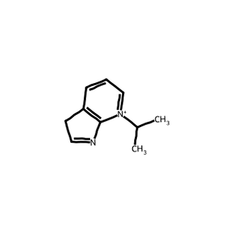 CC(C)[n+]1cccc2c1N=CC2